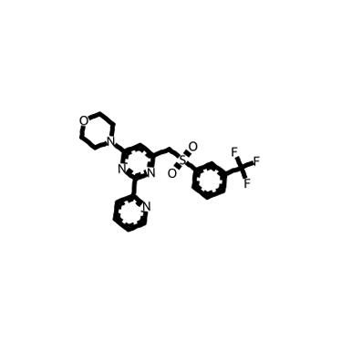 O=S(=O)(Cc1cc(N2CCOCC2)nc(-c2ccccn2)n1)c1cccc(C(F)(F)F)c1